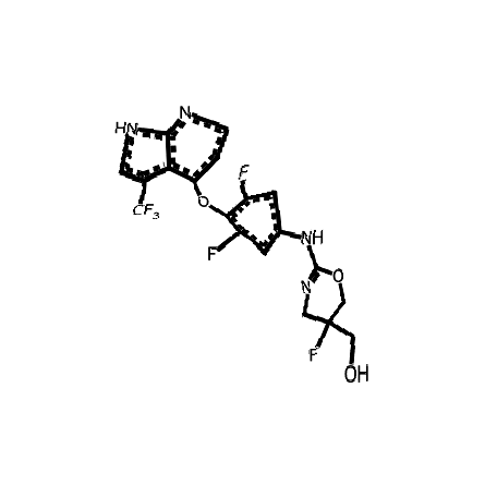 OCC1(F)CN=C(Nc2cc(F)c(Oc3ccnc4[nH]cc(C(F)(F)F)c34)c(F)c2)OC1